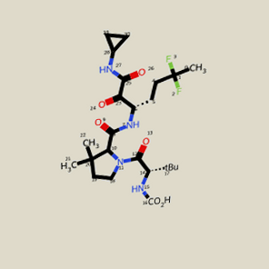 CC(F)(F)CC[C@H](NC(=O)C1N(C(=O)[C@@H](NC(=O)O)C(C)(C)C)CCC1(C)C)C(=O)C(=O)NC1CC1